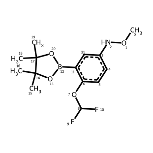 CONc1ccc(OC(F)F)c(B2OC(C)(C)C(C)(C)O2)c1